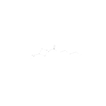 CCCCOC(=O)N1CC(N)C1